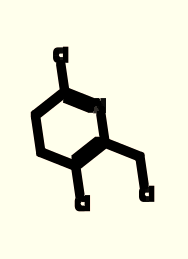 ClCC1=C(Cl)CCC(Cl)=N1